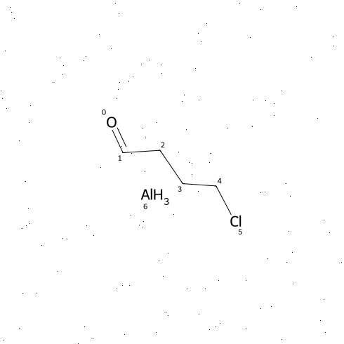 O=CCCCCl.[AlH3]